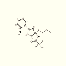 CCCCC1(OC(=O)C(C)(C)C)N=C(c2ccccc2Cl)CS1